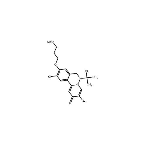 CCC(C)(C)N1Cc2cc(OCCCOC)c(Cl)cc2-c2cc(=O)c(C(C)=O)cn21